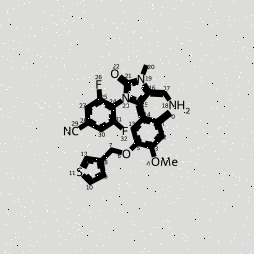 C=c1cc(OC)c(OCc2ccsc2)c/c1=c1/c(=C\N)n(C)c(=O)n1-c1c(F)cc(C#N)cc1F